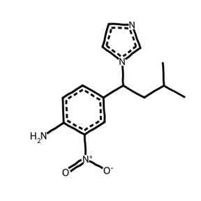 CC(C)CC(c1ccc(N)c([N+](=O)[O-])c1)n1ccnc1